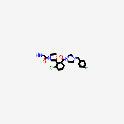 CNCC(=O)N1C=COC(C2=C(Cl)C=CCC2C(=O)N2CCN(Cc3ccc(F)cc3)CC2)=C1